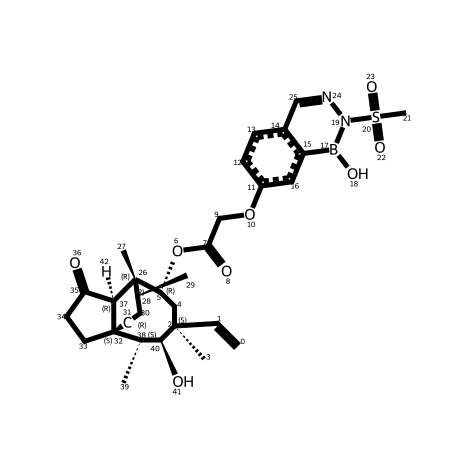 C=C[C@]1(C)C[C@@H](OC(=O)COc2ccc3c(c2)B(O)N(S(C)(=O)=O)N=C3)[C@]2(C)[C@H](C)CC[C@]3(CCC(=O)[C@H]32)[C@@H](C)[C@@H]1O